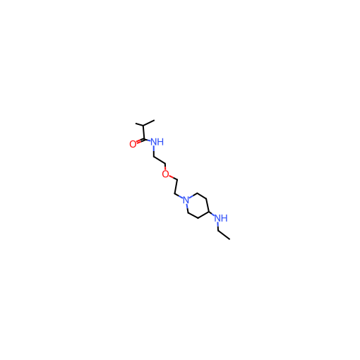 CCNC1CCN(CCOCCNC(=O)C(C)C)CC1